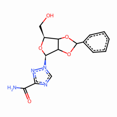 NC(=O)c1ncn([C@H]2O[C@@H](CO)C3OC(c4ccccc4)OC32)n1